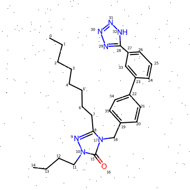 CCCCCCCCc1nn(CCCC)c(=O)n1Cc1ccc(-c2cccc(-c3nnn[nH]3)c2)cc1